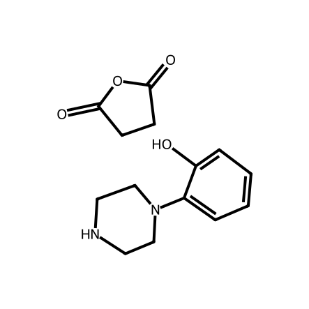 O=C1CCC(=O)O1.Oc1ccccc1N1CCNCC1